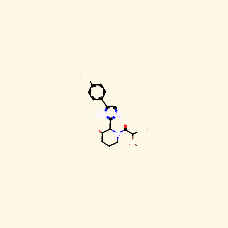 Cc1ccc(-c2cnc(C3C(O)CCCN3C(=O)C(C)[S+](C)[O-])[nH]2)cc1